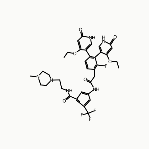 CCOc1cc(=O)[nH]cc1-c1ccc(CC(=O)Nc2cc(C(=O)NCCN3CCN(C)CC3)cc(C(F)(F)F)c2)c(F)c1-c1c[nH]c(=O)cc1OCC